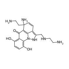 NCCNCc1[nH]n2c3c1C=CC(N)(CCN)c3c(=O)c1c(O)ccc(O)c12